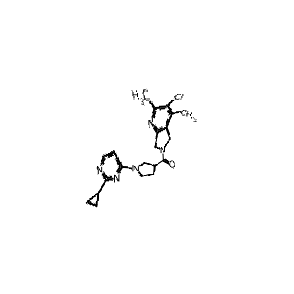 Cc1nc2c(c(C)c1Cl)CN(C(=O)C1CCN(c3ccnc(C4CC4)n3)C1)C2